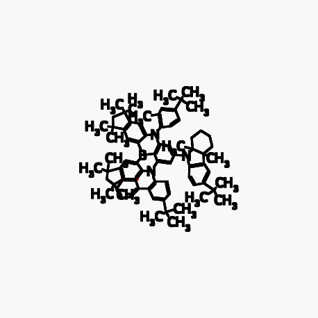 Cc1cc(C(C)(C)C)ccc1N1c2cc3c(cc2B2c4cc5c(cc4N(c4ccc(C(C)(C)C)cc4-c4ccccc4)c4cc(N6c7ccc(C(C)(C)C)cc7C7(C)CCCCC67C)cc1c42)C(C)(C)CC5(C)C)C(C)(C)CC3(C)C